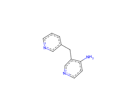 Nc1ccncc1Cc1cccnc1